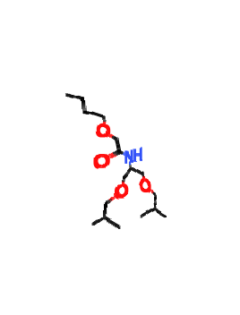 CCCCOCC(=O)NC(COCC(C)C)COCC(C)C